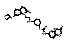 O=C1COc2ccc(NC(=O)O[C@@H]3CCCC(NCCn4c(=O)ccc5ccc(OC6CNC6)cc54)C3)nc2N1